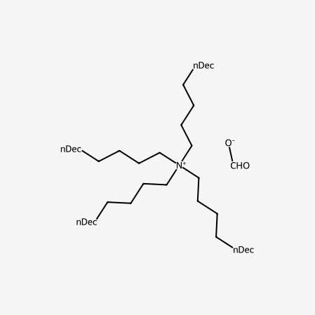 CCCCCCCCCCCCCC[N+](CCCCCCCCCCCCCC)(CCCCCCCCCCCCCC)CCCCCCCCCCCCCC.O=C[O-]